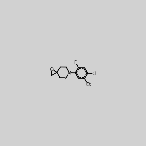 CCc1cc(N2CCC3(CC2)CO3)c(F)cc1Cl